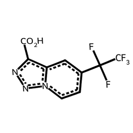 O=C(O)c1nnn2ccc(C(F)(F)C(F)(F)F)cc12